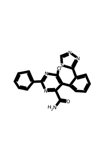 NC(=O)c1nc(-c2ccccc2)nc(Cl)c1-c1ccccc1-c1nncs1